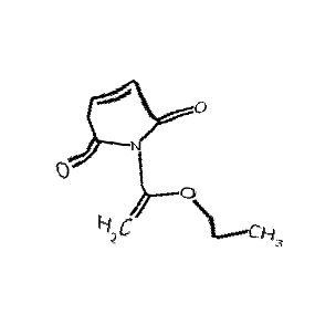 C=C(OCC)N1C(=O)C=CC1=O